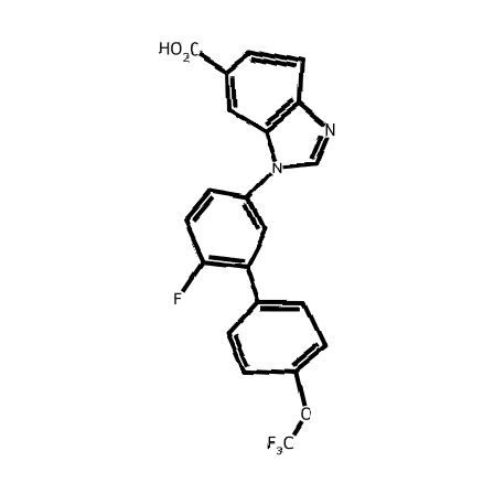 O=C(O)c1ccc2ncn(-c3ccc(F)c(-c4ccc(OC(F)(F)F)cc4)c3)c2c1